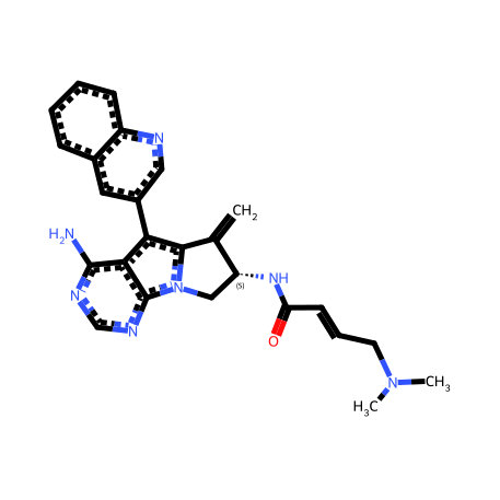 C=C1c2c(-c3cnc4ccccc4c3)c3c(N)ncnc3n2C[C@H]1NC(=O)C=CCN(C)C